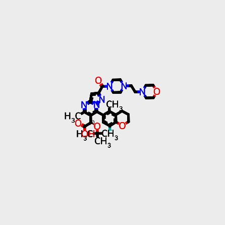 Cc1nc2cc(C(=O)N3CCN(CCN4CCOCC4)CC3)nn2c(-c2cc(F)c3c(c2C)CCCO3)c1[C@H](OC(C)(C)C)C(=O)O